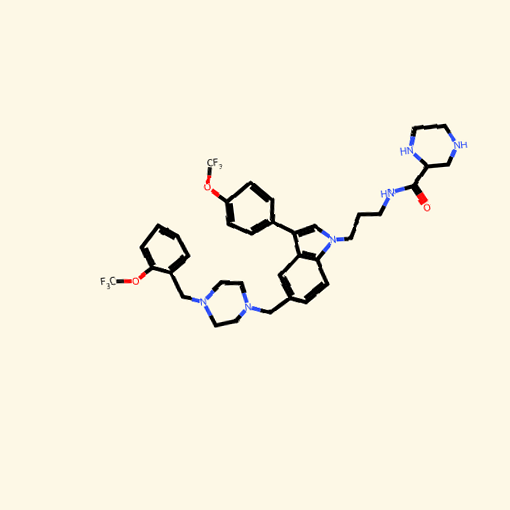 O=C(NCCCn1cc(-c2ccc(OC(F)(F)F)cc2)c2cc(CN3CCN(Cc4ccccc4OC(F)(F)F)CC3)ccc21)C1CNCCN1